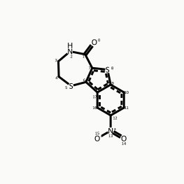 O=C1NCCSc2c1sc1ccc([N+](=O)[O-])cc21